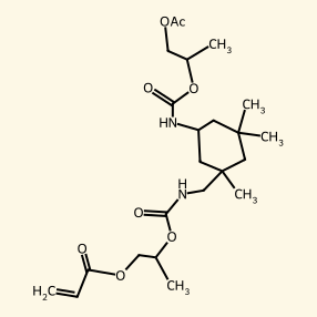 C=CC(=O)OCC(C)OC(=O)NCC1(C)CC(NC(=O)OC(C)COC(C)=O)CC(C)(C)C1